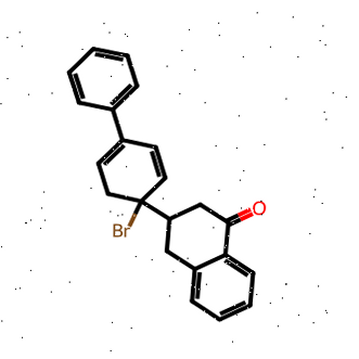 O=C1CC(C2(Br)C=CC(c3ccccc3)=CC2)Cc2ccccc21